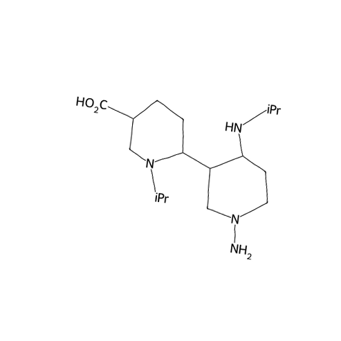 CC(C)NC1CCN(N)CC1C1CCC(C(=O)O)CN1C(C)C